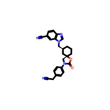 N#CCc1ccc(N2C[C@@]3(CCC[C@H](Cn4cnc5ccc(C#N)cc54)C3)OC2=O)cc1